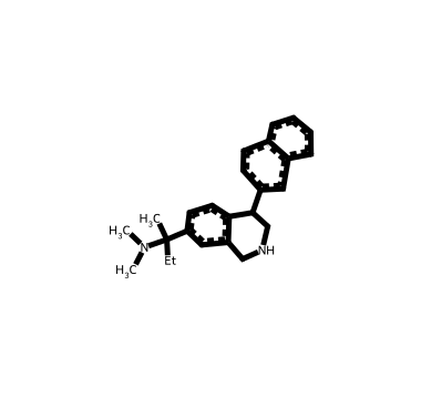 CCC(C)(c1ccc2c(c1)CNCC2c1ccc2ccccc2c1)N(C)C